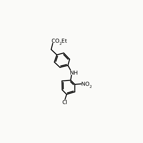 CCOC(=O)Cc1ccc(Nc2ccc(Cl)cc2[N+](=O)[O-])cc1